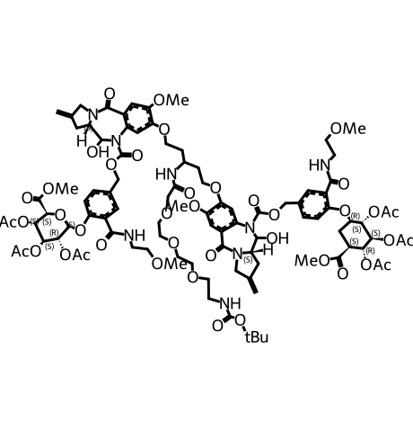 C=C1C[C@H]2C(O)N(C(=O)OCc3ccc(O[C@@H]4O[C@H](C(=O)OC)[C@@H](OC(C)=O)[C@H](OC(C)=O)[C@H]4OC(C)=O)c(C(=O)NCCOC)c3)c3cc(OCCC(CCOc4cc5c(cc4OC)C(=O)N4CC(=C)C[C@H]4C(O)N5C(=O)OCc4ccc(O[C@@H]5C[C@H](C(=O)OC)[C@@H](OC(C)=O)[C@H](OC(C)=O)[C@H]5OC(C)=O)c(C(=O)NCCOC)c4)NC(=O)COCCOCCOCCNC(=O)OC(C)(C)C)c(OC)cc3C(=O)N2C1